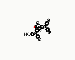 COc1ccc(N(c2ccc(O)cc2)c2ccc3c(c2)Oc2cc(N(c4ccc(OC)cc4)c4ccc(OC)cc4)ccc2C32OC(=O)c3ccccc32)cc1